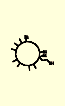 CCC1CCCC(CC)C(CC)(CCS)CC(C)C(C)CC(C)C(C)CC(C)C(C)C1C